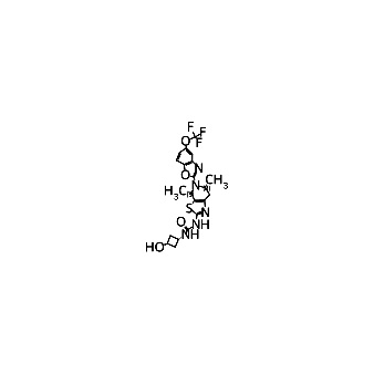 C[C@@H]1Cc2nc(NC(=O)N[C@H]3C[C@H](O)C3)sc2[C@H](C)N1c1nc2cc(OC(F)(F)F)ccc2o1